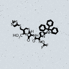 O=C(O)C1=C(CSc2cnns2)CS[C@@H]2C(NC(=O)/C(=N/OC(F)F)c3csc(NC(c4ccccc4)(c4ccccc4)c4ccccc4)n3)C(=O)N12